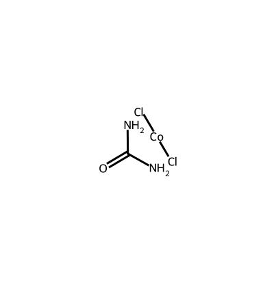 NC(N)=O.[Cl][Co][Cl]